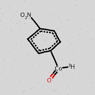 [3H][Co](=[O])[c]1ccc([N+](=O)[O-])cc1